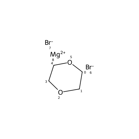 C1COCCO1.[Br-].[Br-].[Mg+2]